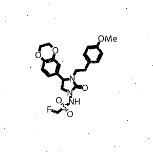 COc1ccc(CCN2C(=O)N(NS(=O)(=O)CF)CC2c2ccc3c(c2)OCCO3)cc1